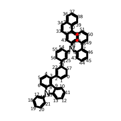 C1=CC(c2cccc3c2c2ccccc2n3-c2ccccc2)=CC(C2C=C(N(c3ccc4c(ccc5ccccc54)c3)c3ccccc3-c3ccccc3)C=CC2)C1